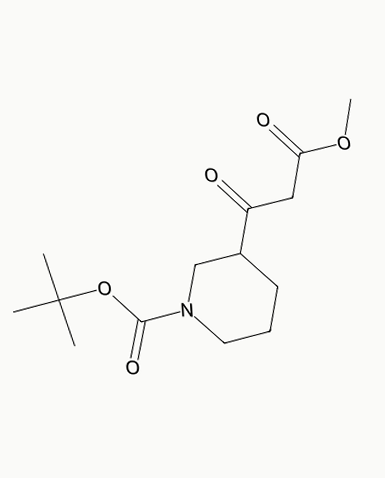 COC(=O)CC(=O)C1CCCN(C(=O)OC(C)(C)C)C1